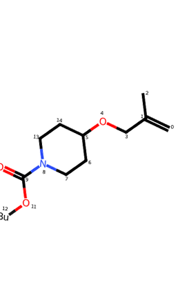 C=C(C)COC1CCN(C(=O)OC(C)(C)C)CC1